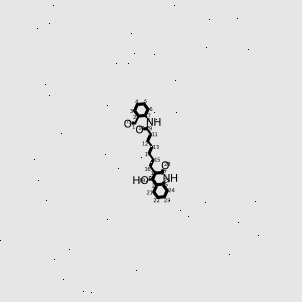 O=Cc1ccccc1NC(=O)C=CC=CC=Cc1c(O)c2ccccc2[nH]c1=O